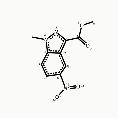 COC(=O)c1nn(C)c2ccc([N+](=O)[O-])cc12